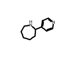 c1cc(C2CCCCCN2)ccn1